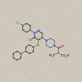 CC(C(=O)O)C(=O)N1CCN(c2cnn(-c3ccc(Cl)cc3)c(=O)c2Oc2ccc(-c3ccccc3)cc2)CC1